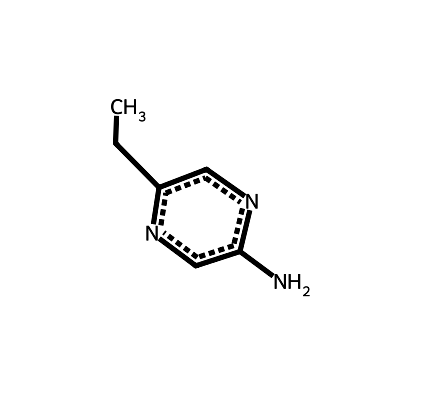 CCc1cnc(N)cn1